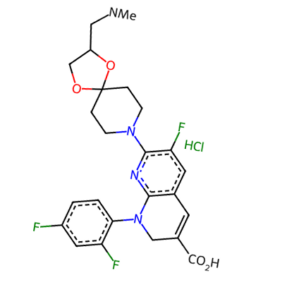 CNCC1COC2(CCN(c3nc4c(cc3F)C=C(C(=O)O)CN4c3ccc(F)cc3F)CC2)O1.Cl